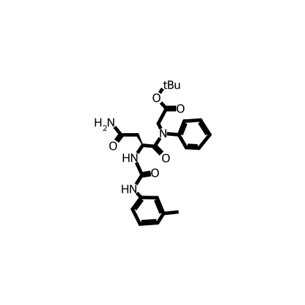 Cc1cccc(NC(=O)N[C@@H](CC(N)=O)C(=O)N(CC(=O)OC(C)(C)C)c2ccccc2)c1